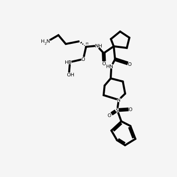 NCCC[C@H](NC(=O)C1(C(=O)NC2CCN(S(=O)(=O)c3ccccc3)CC2)CCCC1)OBO